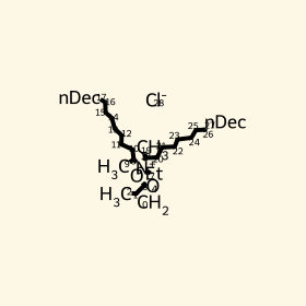 C=C(C)C(=O)O[N+](CC)(C(C)CCCCCCCCCCCCCCCCC)C(C)CCCCCCCCCCCCCCCCC.[Cl-]